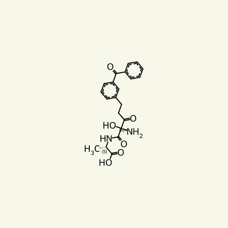 C[C@H](NC(=O)[C@](N)(O)C(=O)CCc1cccc(C(=O)c2ccccc2)c1)C(=O)O